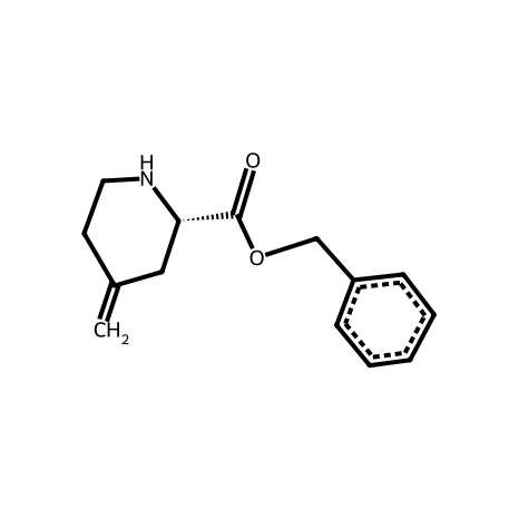 C=C1CCN[C@H](C(=O)OCc2ccccc2)C1